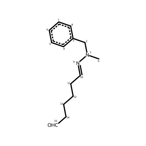 CN(Cc1ccccc1)N=CCCCCC=O